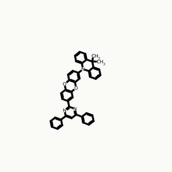 CC1(C)c2ccccc2N(c2ccc3c(c2)Oc2cc(-c4nc(-c5ccccc5)cc(-c5ccccc5)n4)ccc2O3)c2ccccc21